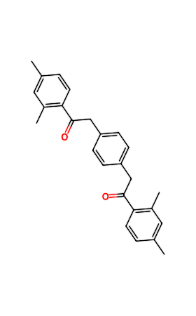 Cc1ccc(C(=O)Cc2ccc(CC(=O)c3ccc(C)cc3C)cc2)c(C)c1